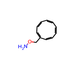 NOCc1ccccccccc1